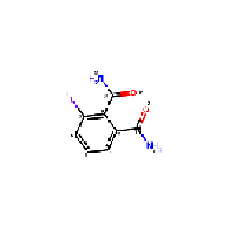 NC(=O)c1cccc(I)c1C(N)=O